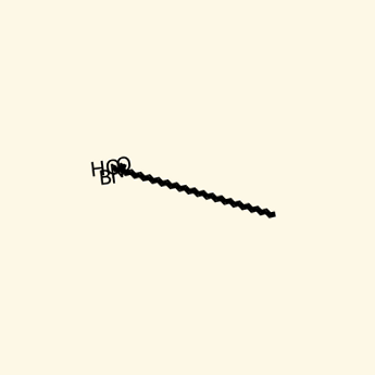 CCCCCCCCCCCCCCCCCCCCCCCCCCCCCCCCCCC(=O)N(O)Br